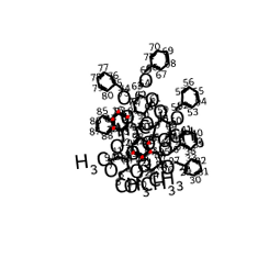 CC(=O)OC1C(C)OC(C)[C@H](OCc2ccccc2)[C@@H]1O[C@@H]1OC(C)[C@H](OCc2ccccc2)[C@H](OCc2ccccc2)C1O[C@@H]1OC(C)[C@H](OCc2ccccc2)[C@H](O[C@H]2O[C@@H](COCc3ccccc3)[C@@H](OCc3ccccc3)C(OCc3ccccc3)C2OCc2ccccc2)C1C